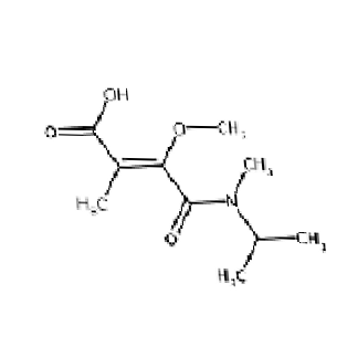 CO/C(C(=O)N(C)C(C)C)=C(/C)C(=O)O